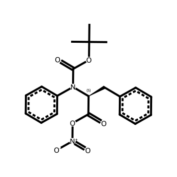 CC(C)(C)OC(=O)N(c1ccccc1)[C@@H](Cc1ccccc1)C(=O)O[N+](=O)[O-]